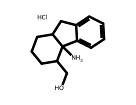 Cl.NC12c3ccccc3CC1CCCC2CO